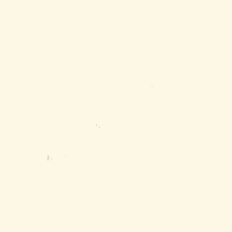 CCN(c1cc(F)cc(C(=O)NCc2c(C)cc(C)[nH]c2=O)c1C)C1C[C@@H](C)C[C@@H](C)C1